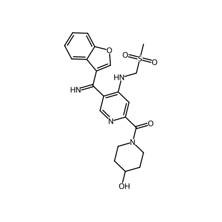 CS(=O)(=O)CNc1cc(C(=O)N2CCC(O)CC2)ncc1C(=N)c1coc2ccccc12